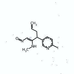 C=CCC(/C(=C/N=O)NC)c1ccc(I)nc1